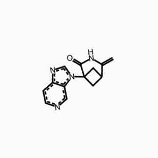 C=C1NC(=O)C2(n3cnc4ccncc43)CC1C2